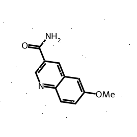 COc1ccc2ncc(C(N)=O)cc2c1